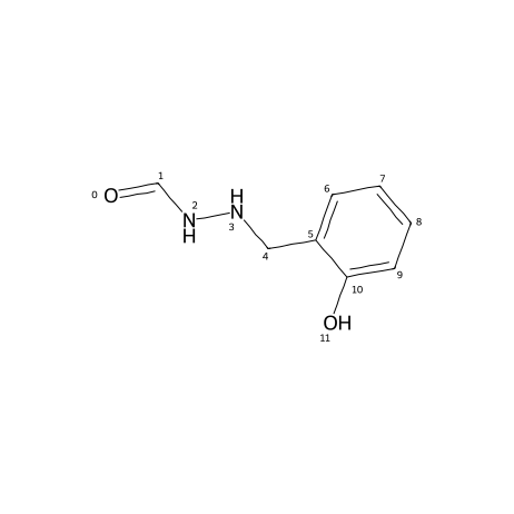 O=CNNCc1ccccc1O